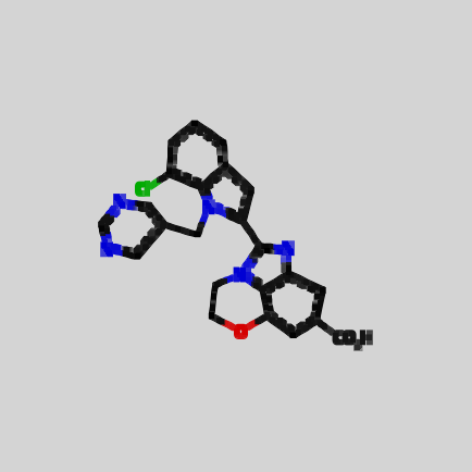 O=C(O)c1cc2c3c(c1)nc(-c1cc4cccc(Cl)c4n1Cc1cncnc1)n3CCO2